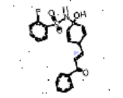 O=C(/C=C/C1C=CC(O)(NS(=O)(=O)c2ccccc2F)C=C1)c1ccccc1